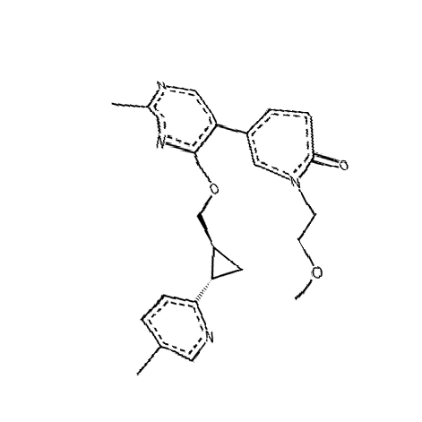 COCCn1cc(-c2cnc(C)nc2OC[C@H]2C[C@@H]2c2ccc(C)cn2)ccc1=O